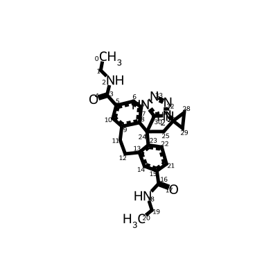 CCNC(=O)c1ccc2c(c1)CCc1cc(C(=O)NCC)ccc1C2(CC1(N)CC1)c1nnn[nH]1